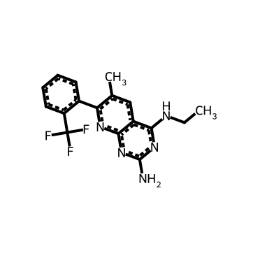 CCNc1nc(N)nc2nc(-c3ccccc3C(F)(F)F)c(C)cc12